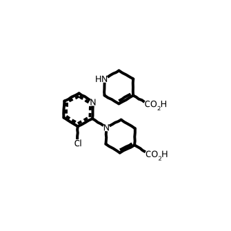 O=C(O)C1=CCN(c2ncccc2Cl)CC1.O=C(O)C1=CCNCC1